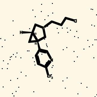 FC(F)(F)c1ccc([C@@]23C[C@@H]2CN(CCCCl)C3)cn1